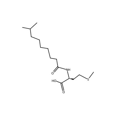 CSCC[C@H](NC(=O)CCCCCCC(C)C)C(=O)O